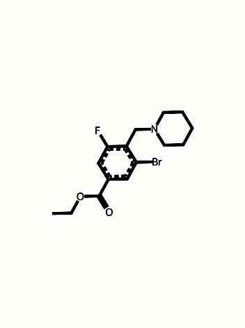 CCOC(=O)c1cc(F)c(CN2CCCCC2)c(Br)c1